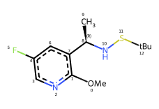 COc1ncc(F)cc1[C@@H](C)NSC(C)(C)C